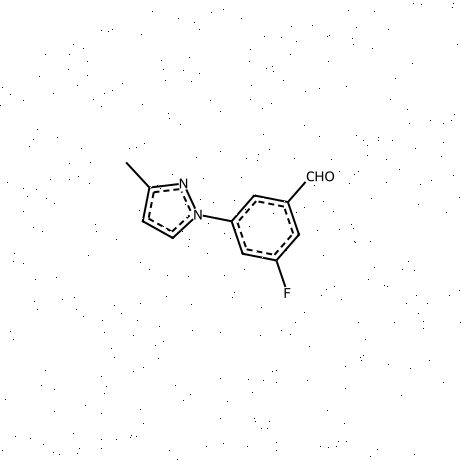 Cc1ccn(-c2cc(F)cc(C=O)c2)n1